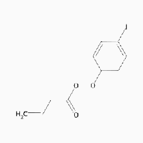 C=CCC(=O)OOc1ccc(I)cc1